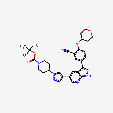 CC(C)(C)OC(=O)N1CCC(n2cc(-c3cnc4[nH]cc(-c5ccc(OC6CCOCC6)c(C#N)c5)c4c3)cn2)CC1